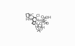 CC1(C)O[C@@H]2[C@H](O1)[C@@H](CS(=O)(=O)CP(=O)(O)O)O[C@H]2n1ccc2c(NC3CCCC3)c(C#N)c(Cl)nc21